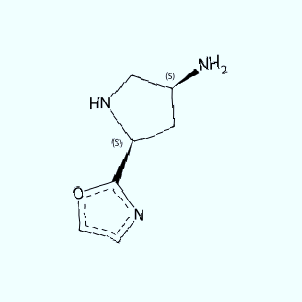 N[C@@H]1CN[C@H](c2ncco2)C1